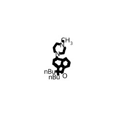 CCCCC1(CCCC)C(=O)c2cccc3c(N4CCCN(C)CC4)ccc1c23